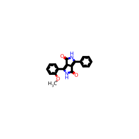 COc1ccccc1C1=C2C(=O)NC(c3ccccc3)=C2C(=O)N1